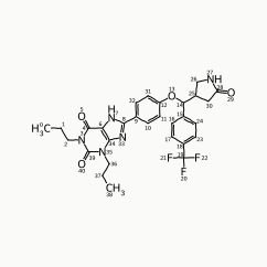 CCCn1c(=O)c2[nH]c(-c3ccc(OC(c4ccc(C(F)(F)F)cc4)C4CNC(=O)C4)cc3)nc2n(CCC)c1=O